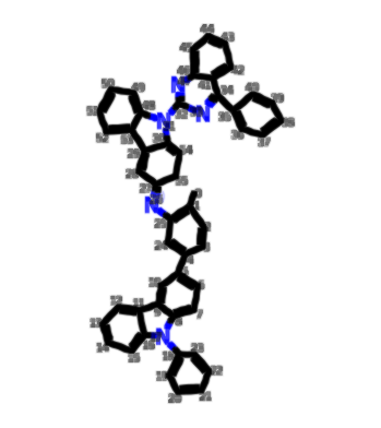 Cc1ccc(-c2ccc3c(c2)c2ccccc2n3-c2ccccc2)cc1/N=C1/C=c2c(n(-c3nc(-c4ccccc4)c4ccccc4n3)c3ccccc23)=CC1